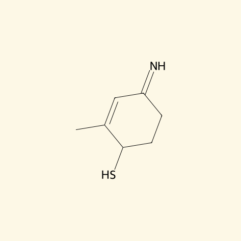 CC1=CC(=N)CCC1S